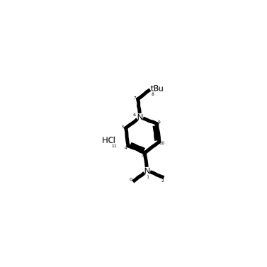 CN(C)C1=CCN(CC(C)(C)C)C=C1.Cl